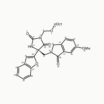 CCCCCCCCOCN1C(=O)N[C@@](CN2Cc3ccc(OC)cc3C2=O)(c2cc3cnccc3o2)C1=O